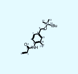 C=CC(=O)Nc1ccc(CO[Si](C)(C)C(C)(C)C)cc1F